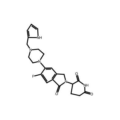 O=C1CCC(N2Cc3cc(N4CCN(Cc5ccc[nH]5)CC4)c(F)cc3C2=O)C(=O)N1